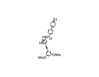 CCN1CCN(c2ccc(C(=O)Nc3cc(C#Cc4cc(OC)cc(OC)c4)[nH]n3)cc2)CC1